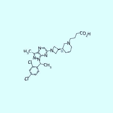 Cc1nn(C(C)c2ccc(Cl)cc2Cl)c2nc(N3CC([C@@H]4CCCN(CCCC(=O)O)C4)C3)cnc12